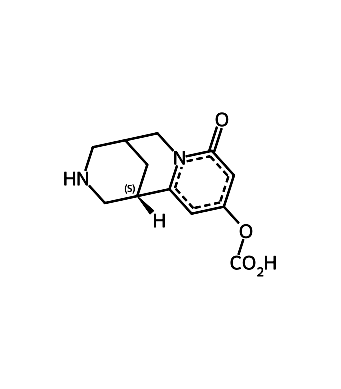 O=C(O)Oc1cc2n(c(=O)c1)CC1CNC[C@@H]2C1